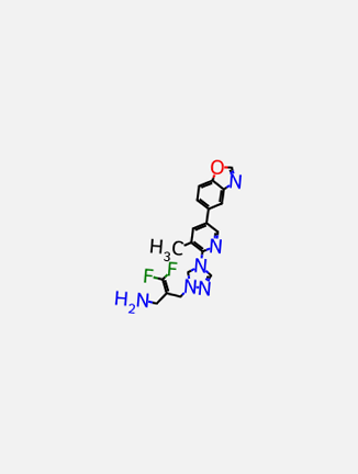 Cc1cc(-c2ccc3ocnc3c2)cnc1N1C=NN(CC(CN)=C(F)F)C1